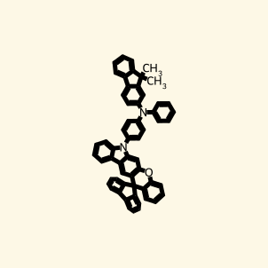 CC1(C)c2ccccc2-c2ccc(N(c3ccccc3)c3ccc(-n4c5ccccc5c5cc6c(cc54)Oc4ccccc4C64c5ccccc5-c5ccccc54)cc3)cc21